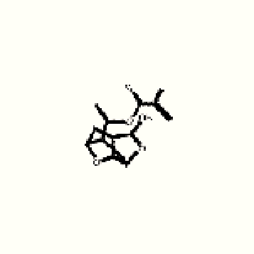 C=C(C)C(=O)OC(C)C1C2CC3C(O)OC1C3O2